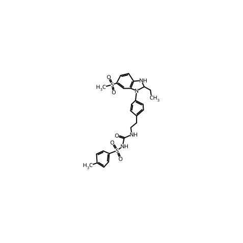 CCC1Nc2ccc(S(C)(=O)=O)cc2N1c1ccc(CCNC(=O)NS(=O)(=O)c2ccc(C)cc2)cc1